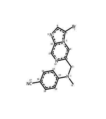 CN(Cc1cn2c(Br)cnc2cn1)c1ccc(C#N)cc1